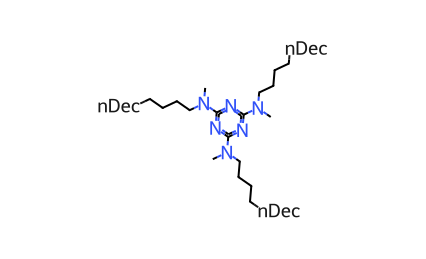 CCCCCCCCCCCCCCN(C)c1nc(N(C)CCCCCCCCCCCCCC)nc(N(C)CCCCCCCCCCCCCC)n1